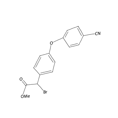 COC(=O)C(Br)c1ccc(Oc2ccc(C#N)cc2)cc1